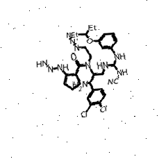 CCC(CC)Oc1cccc(NC(NC#N)NCC(C(N)c2ccc(Cl)c(Cl)c2)N(CCN=[N+]=[N-])C(=O)C2CCCC2NN=N)c1